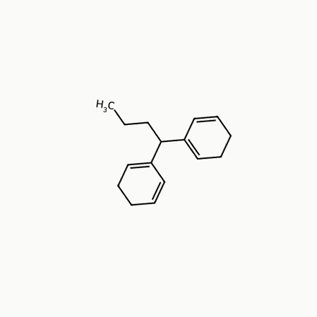 CCCC(C1=CCCC=C1)C1=CCCC=C1